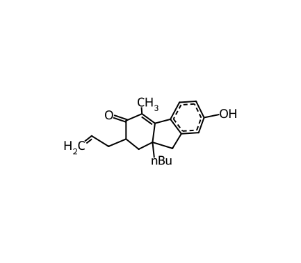 C=CCC1CC2(CCCC)Cc3cc(O)ccc3C2=C(C)C1=O